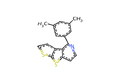 Cc1cc(C)cc(-c2nccc3sc4sccc4c23)c1